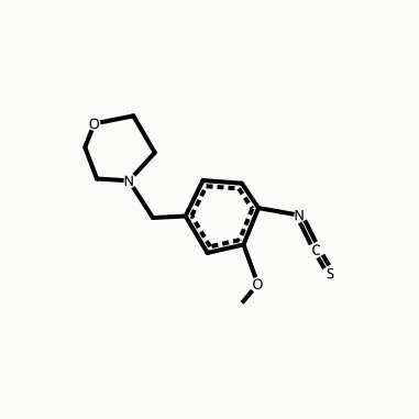 COc1cc(CN2CCOCC2)ccc1N=C=S